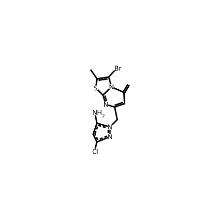 C=C1C=C(Cn2nc(Cl)cc2N)N=C2SC(C)=C(Br)N12